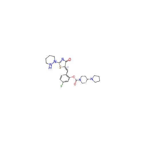 O=C1N=C(N2CCCCN2)S/C1=C\c1ccc(F)cc1OC(=O)N1CCC(N2CCCC2)CC1